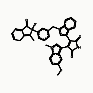 COc1ccc2c(c1)c(C1=C(c3cn(Cc4cccc([N+]5([O-])C(=O)C6=CC=CCC6=C5C)c4)c4ccccc34)C(=O)NC1=O)cn2C